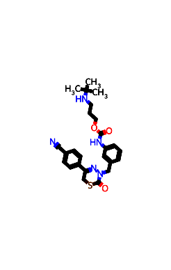 CC(C)(C)NCCCOC(=O)Nc1cccc(CN2N=C(c3ccc(C#N)cc3)CSC2=O)c1